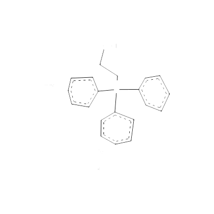 Br.Br.Br.O=C(O)CC[PH](c1ccccc1)(c1ccccc1)c1ccccc1